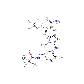 Cn1c(Nc2cc(CNC(=O)C(C)(C)C)ccc2Cl)nc2cc(C(N)=O)c(OCC(F)(F)F)cc21